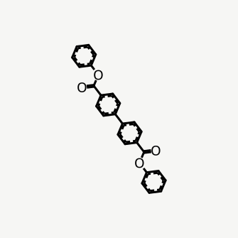 O=C(Oc1ccccc1)c1ccc(-c2ccc(C(=O)Oc3ccccc3)cc2)cc1